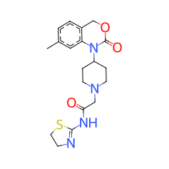 Cc1ccc2c(c1)N(C1CCN(CC(=O)NC3=NCCS3)CC1)C(=O)OC2